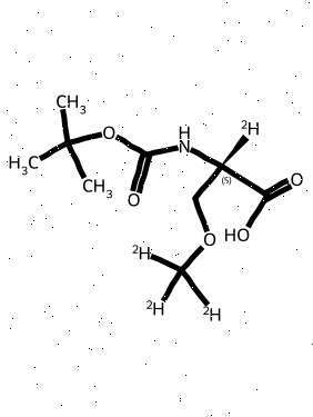 [2H]C([2H])([2H])OC[C@]([2H])(NC(=O)OC(C)(C)C)C(=O)O